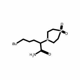 CCC(C)CCCC(C(N)=O)N1CCS(=O)(=O)CC1